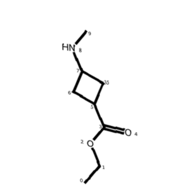 CCOC(=O)C1CC(NC)C1